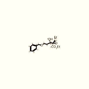 CCOC(=O)[C@@]1([C@H](O)CCOCc2ccccc2)O[C@H]1CC